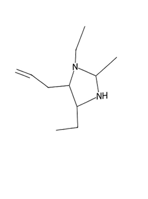 C=CCC1C(CC)NC(C)N1CC